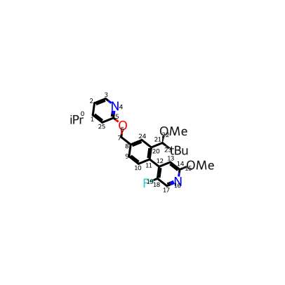 [CH2][C@H](C)c1ccnc(OCc2ccc(-c3cc(OC)ncc3F)c([C@@H](OC)C(C)(C)C)c2)c1